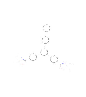 CCC1(CC)COC(c2ccc(-c3cc(-c4ccc(C5=NC(CC)(CC)CO5)cc4)cc(-c4ccc(-c5ccccc5)cc4)c3)cc2)=N1